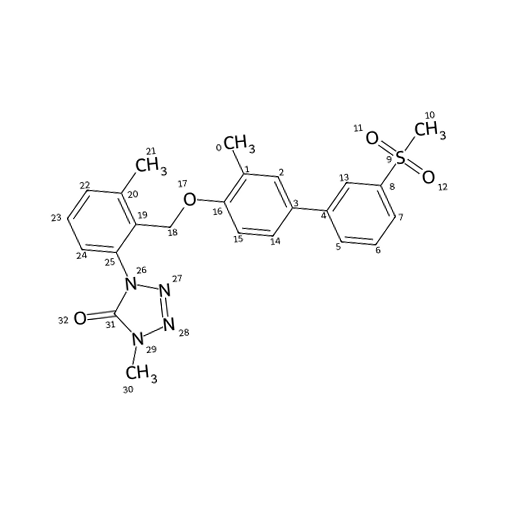 Cc1cc(-c2cccc(S(C)(=O)=O)c2)ccc1OCc1c(C)cccc1-n1nnn(C)c1=O